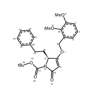 COc1cccc(COC2=CC(=O)N(C(=O)OC(C)(C)C)[C@H]2CCc2ccccc2)c1OC